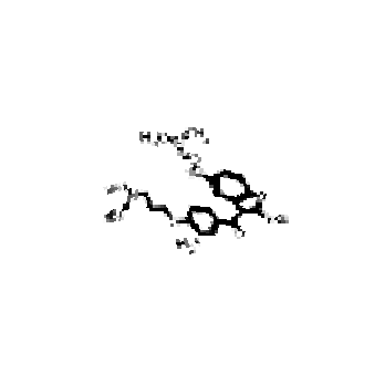 CCCCc1oc2ccc(NOSN(C)C)cc2c1C(=O)c1ccc(OCCCN(CCCC)CCCC)cc1.S